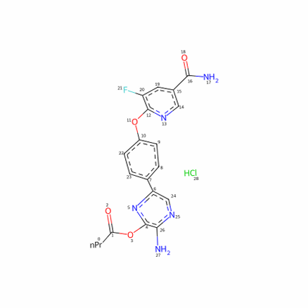 CCCC(=O)Oc1nc(-c2ccc(Oc3ncc(C(N)=O)cc3F)cc2)cnc1N.Cl